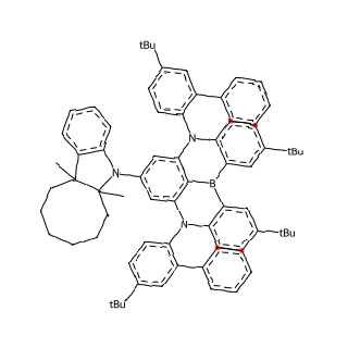 CC(C)(C)c1ccc2c(c1)B1c3cc(C(C)(C)C)ccc3N(c3ccc(C(C)(C)C)cc3-c3ccccc3)c3cc(N4c5ccccc5C5(C)CCCCCCC45C)cc(c31)N2c1ccc(C(C)(C)C)cc1-c1ccccc1